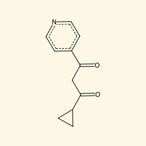 O=C(CC(=O)C1CC1)c1ccncc1